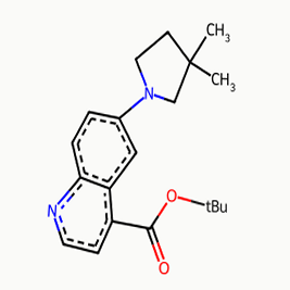 CC1(C)CCN(c2ccc3nccc(C(=O)OC(C)(C)C)c3c2)C1